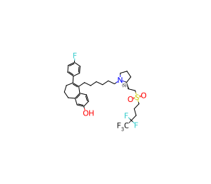 O=S(=O)(CCCC(F)(F)C(F)(F)F)CC[C@@H]1CCCN1CCCCCCC1=C(c2ccc(F)cc2)CCCc2cc(O)ccc21